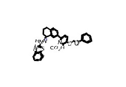 O=C(O)c1nc(-c2ccc3c(c2)/C(=N/Nc2nc4ccccc4s2)CCC3)ccc1OCOc1ccccc1